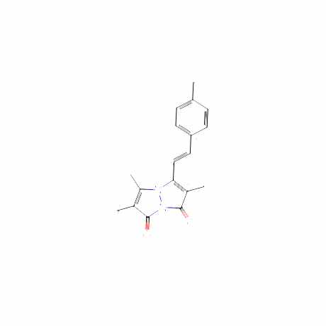 Cc1ccc(/C=C/c2c(C)c(=O)n3c(=O)c(C)c(C)n23)cc1